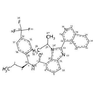 CCC[C@H](NC(=O)c1cccc2nc(-c3cncc4ccccc34)n(C(C)C)c12)c1ccc(C(F)(F)F)cc1